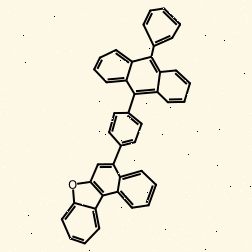 c1ccc(-c2c3ccccc3c(-c3ccc(-c4cc5oc6ccccc6c5c5ccccc45)cc3)c3ccccc23)cc1